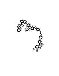 Cc1c(Oc2ccc(CCCN3CCN(c4ccc5c(C6CCC(=O)NC6=O)nn(C)c5c4)CC3)cc2)cccc1-c1ccc(N2CCc3cccc(C(=O)Nc4nc5ccccc5s4)c3C2)nc1C(=O)OC(C)(C)C